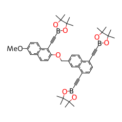 COc1ccc2c(C#CB3OC(C)(C)C(C)(C)O3)c(OCc3ccc4c(C#CB5OC(C)(C)C(C)(C)O5)ccc(C#CB5OC(C)(C)C(C)(C)O5)c4c3)ccc2c1